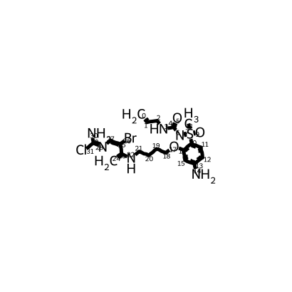 C=CCNC(=O)N=S(C)(=O)c1ccc(N)cc1OCCCCNC(=C)/C(Br)=C\N=C(/N)Cl